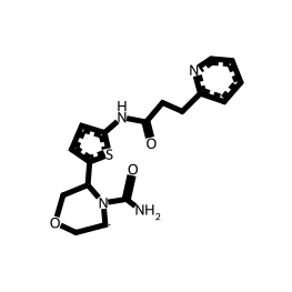 NC(=O)N1[CH]COCC1c1ccc(NC(=O)CCc2ccccn2)s1